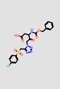 O=C(O)CC(NC(=O)OCc1ccccc1)C(=O)Cn1nnnc1CS(=O)(=O)c1ccc(Cl)cc1